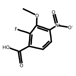 COc1c([N+](=O)[O-])ccc(C(=O)O)c1F